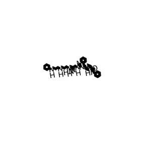 N=N/C(=C\NCCCNCCCNC1CCCCC1)CNc1nc(N2CCN(C(=O)Nc3ccccc3)CC2)c2ccccc2n1